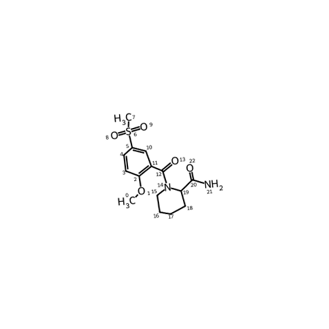 COc1ccc(S(C)(=O)=O)cc1C(=O)N1CCCCC1C(N)=O